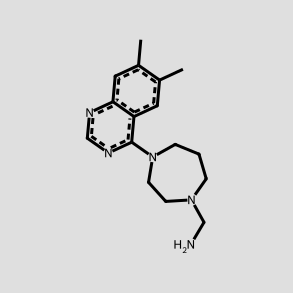 Cc1cc2ncnc(N3CCCN(CN)CC3)c2cc1C